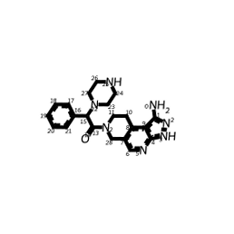 Nc1n[nH]c2ncc3c(c12)CCN(C(=O)C(c1ccccc1)N1CCNCC1)C3